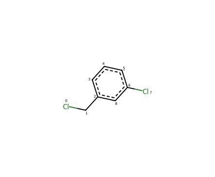 ClCc1cc[c]c(Cl)c1